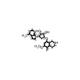 COc1cc(O[C@H]2C[C@@H](n3ccc4c(C)ncnc43)[C@H](O)[C@@H]2O)c2c(c1F)CCNC2